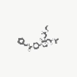 CCOC(=O)CC[C@@]1(CC(=O)OC(C)C)NCCN(C2CCN(C(=O)OCc3ccccc3)CC2)C1=O